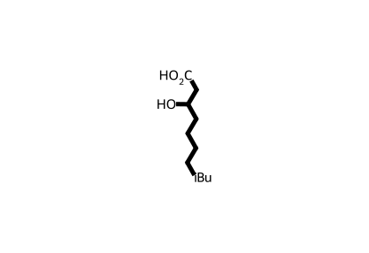 CCC(C)CCCCC(O)CC(=O)O